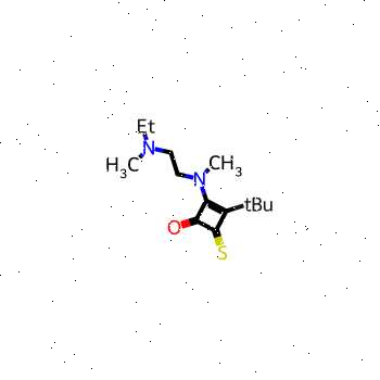 CCN(C)CCN(C)c1c(C(C)(C)C)c(=S)c1=O